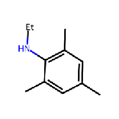 [CH2]CNc1c(C)cc(C)cc1C